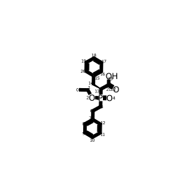 CCOP(=O)(CCc1ccccc1)[C@@H](Cc1ccccc1)C(=O)O